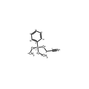 CO[Si](OC)(OCC#N)c1ccccc1